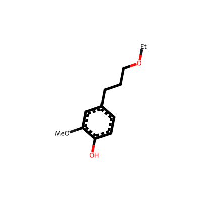 CCOCCCc1ccc(O)c(OC)c1